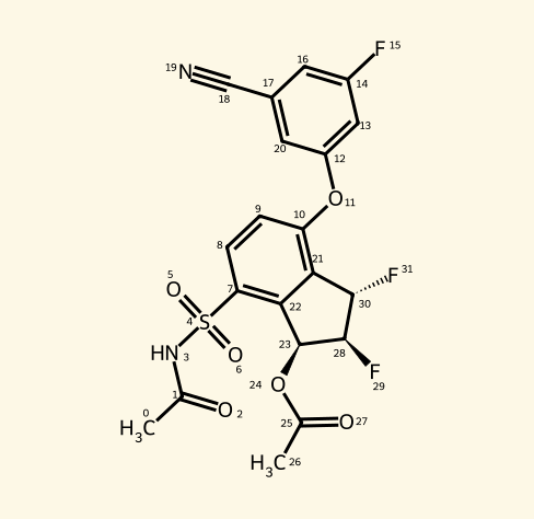 CC(=O)NS(=O)(=O)c1ccc(Oc2cc(F)cc(C#N)c2)c2c1[C@H](OC(C)=O)[C@H](F)[C@H]2F